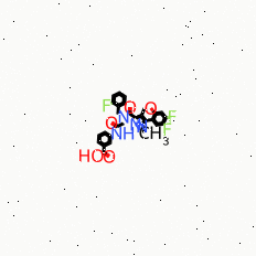 Cn1nc(C(=O)N(CC(=O)Nc2cccc(C(=O)O)c2)Cc2ccccc2F)c2c1-c1cc(F)c(F)cc1OC2